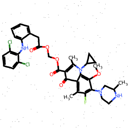 COc1c(N2CCNC(C)C2)c(F)c(C)c2c(=O)c(C(=O)OCOC(=O)Cc3ccccc3Nc3c(Cl)cccc3Cl)c(C)n(C3CC3)c12